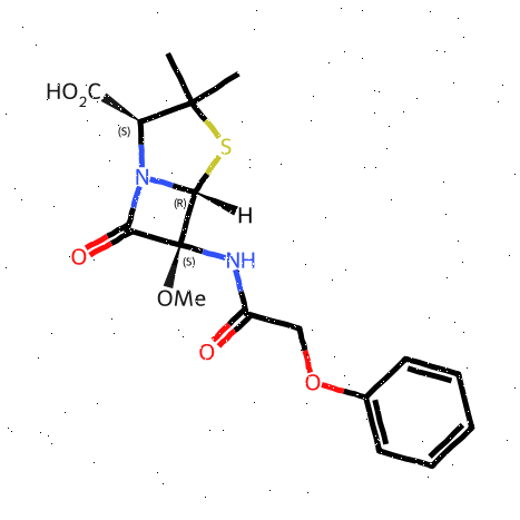 CO[C@@]1(NC(=O)COc2ccccc2)C(=O)N2[C@@H](C(=O)O)C(C)(C)S[C@@H]21